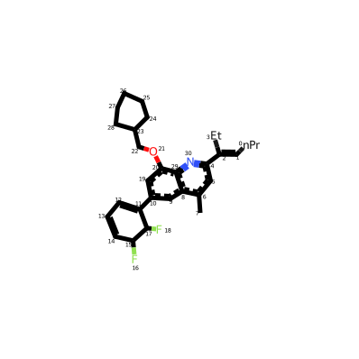 CCC/C=C(\CC)c1cc(C)c2cc(C3=CC=CC(F)C3F)cc(OCC3CCCCC3)c2n1